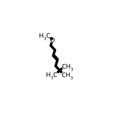 COCCC=CCC(C)(C)C